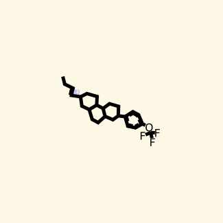 CC/C=C/C1CCC2C(CCC3CC(c4ccc(OC(F)(F)F)cc4)CCC32)C1